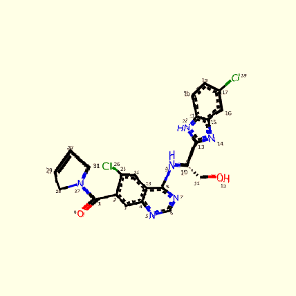 O=C(c1cc2ncnc(N[C@@H](CO)c3nc4cc(Cl)ccc4[nH]3)c2cc1Cl)N1CC=CC1